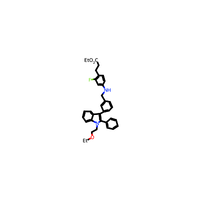 CCOCCn1c(-c2ccccc2)c(-c2cccc(CNc3ccc(CCC(=O)OCC)c(F)c3)c2)c2ccccc21